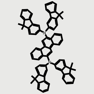 CC1(C)c2ccccc2-c2cc(N(c3ccc4c(c3)-c3ccccc3C4(C)C)c3cc4c5ccccc5c(N(c5ccc6c(c5)-c5ccccc5C6(C)C)c5ccc6c(c5)-c5ccccc5C6(C)C)cc4c4ccccc34)ccc21